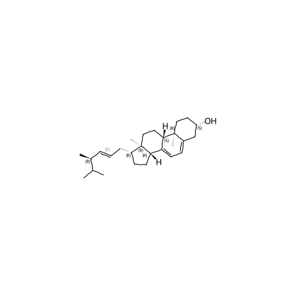 CC(C)[C@@H](C)/C=C/C[C@H]1CC[C@H]2C3=CC=C4C[C@@H](O)CC[C@]4(C)[C@H]3CC[C@]12C